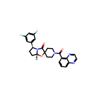 O=C(c1cccc2nccnc12)N1CCC2(CC1)O[C@@H]1CC[C@@H](c3cc(F)cc(F)c3)N1C2=O